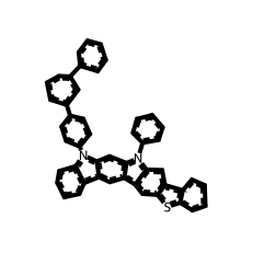 c1ccc(-c2cccc(-c3ccc(-n4c5ccccc5c5cc6c7cc8sc9ccccc9c8cc7n(-c7ccccc7)c6cc54)cc3)c2)cc1